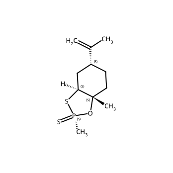 C=C(C)[C@@H]1CC[C@]2(C)O[P@@](C)(=S)S[C@H]2C1